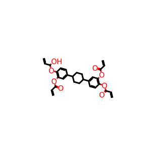 C=CC(=O)Oc1ccc(C2CCC(c3ccc(OC(O)C=C)c(OC(=O)C=C)c3)CC2)cc1OC(=O)C=C